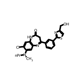 CCCN(C)c1cc2c(cc1Cl)NC(=O)CC(c1cccc(-c3nc(CO)cs3)c1)=N2